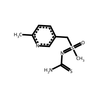 Cc1ccc(CS(C)(=O)=NC(N)=S)cn1